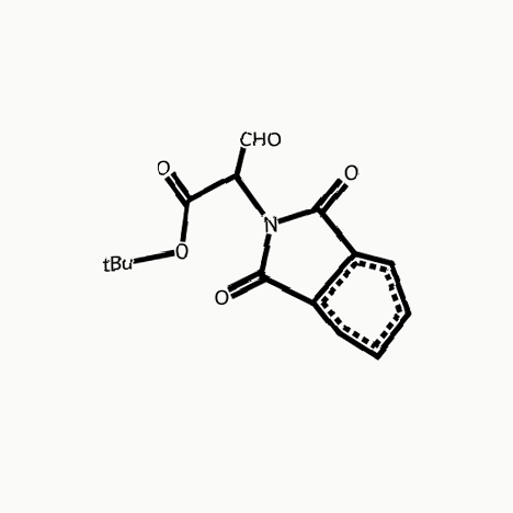 CC(C)(C)OC(=O)C(C=O)N1C(=O)c2ccccc2C1=O